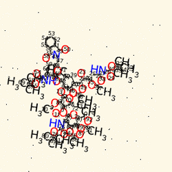 CC[C@@H]1O[C@H](O[C@H]2[C@@H](OC(C)=O)[C@H](O[C@@H]3[C@@H](OC(C)=O)[C@H](CC(=O)[C@H](CCNC(=O)OC(C)(C)C)OC(C)=O)C[C@H](C)[C@H]3O[C@H]3O[C@H](CN4C(=O)c5ccccc5C4=O)C=C[C@H]3NC(=O)OC(C)(C)C)O[C@@H]2CC)[C@H](NC(=O)OC(C)(C)C)[C@@H](OC(C)=O)[C@@H]1OC(C)=O